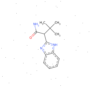 CC(C)(C)C(C(N)=O)c1nc2ccccc2[nH]1